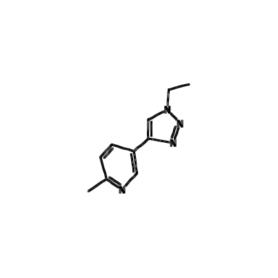 CCn1cc(-c2ccc(C)nc2)nn1